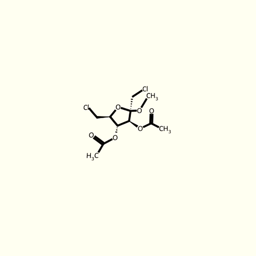 CO[C@]1(CCl)O[C@H](CCl)[C@@H](OC(C)=O)[C@@H]1OC(C)=O